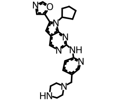 c1ncc(-c2cc3cnc(Nc4ccc(CN5CCNCC5)cn4)nc3n2C2CCCC2)o1